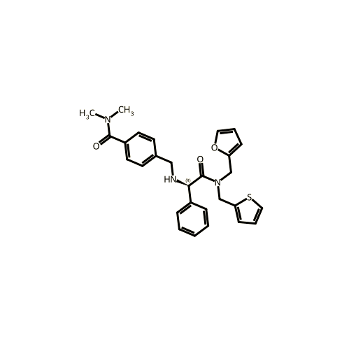 CN(C)C(=O)c1ccc(CN[C@@H](C(=O)N(Cc2ccco2)Cc2cccs2)c2ccccc2)cc1